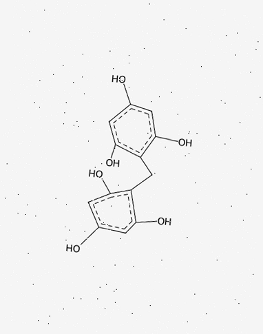 Oc1cc(O)c(Cc2c(O)cc(O)cc2O)c(O)c1